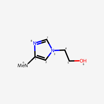 CNc1cn(CCO)cn1